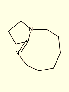 C1CCCN2CCC/C2=N\CC1